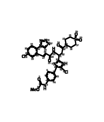 COC(=O)Nc1ccc(-c2nc([C@H](CC(=O)N3CCS(=O)(=O)CC3)NC(=O)/C=C/c3cc(Cl)ccc3-n3cnnn3)[nH]c2Cl)cc1